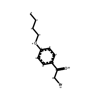 CCCCOc1ccc(C(=O)CBr)cc1